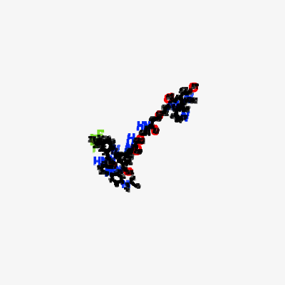 CC(C)N(C)[C@@H]1CC[C@H](N2CC[C@H](Nc3ncnc4ccc(C(F)(F)F)cc34)C2=O)[C@H](NC(=O)C2CCC(NC(=O)COCCNC(=O)CCOCCNC(=O)[C@H]3CC(=O)N(C)[C@@H]3c3cccnc3)CC2)C1